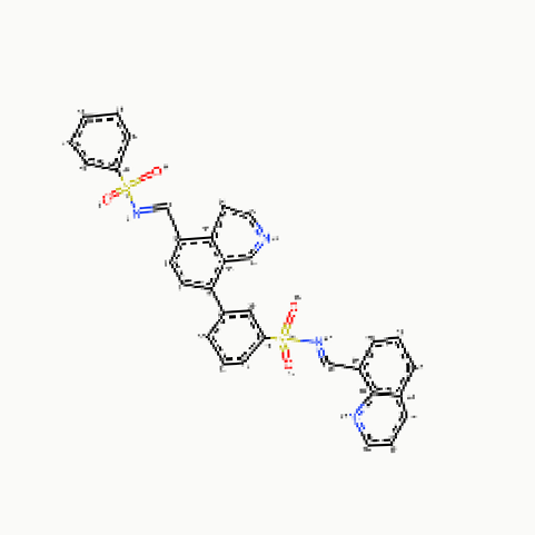 O=S(=O)(/N=C/c1ccc(-c2cccc(S(=O)(=O)/N=C/c3cccc4cccnc34)c2)c2cnccc12)c1ccccc1